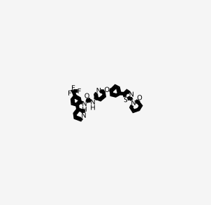 O=C(Nc1ccc(Oc2ccc(-c3cnc(N4CCCCC4=O)s3)cc2)nc1)Nc1cc(C(F)(F)F)ccc1-c1cccnc1